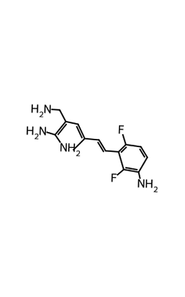 C/C(C=Cc1c(F)ccc(N)c1F)=C\C(CN)=C(N)N